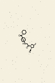 N#C[C@@H]1C[C@H](F)CN1C(=O)CNC12CCC(C(=O)N3CCCCC3)(CC1)CC2